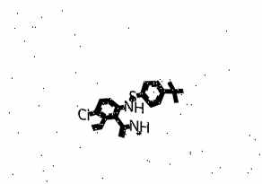 C=Cc1c(Cl)ccc(NSc2ccc(C(C)(C)C)cc2)c1C(=C)NC